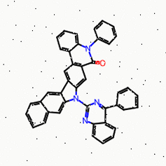 O=c1c2cc3c(cc2c2ccccc2n1-c1ccccc1)c1cc2ccccc2cc1n3-c1nc(-c2ccccc2)c2ccccc2n1